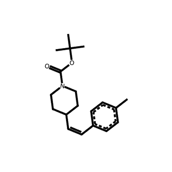 Cc1ccc(/C=C\C2CCN(C(=O)OC(C)(C)C)CC2)cc1